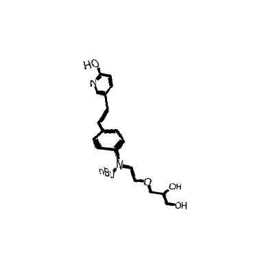 CCCCN(CCOCC(O)CO)c1ccc(/C=C/c2ccc(O)nc2)cc1